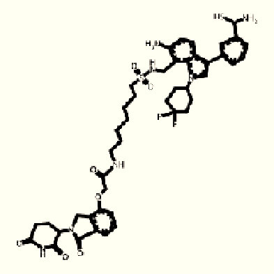 Nc1ccc2c(-c3cccc(C(N)S)c3)cn(C3CCC(F)(F)CC3)c2c1CNS(=O)(=O)CCCCCCCNC(=O)COc1cccc2c1CN(C1CCC(=O)NC1=O)C2=O